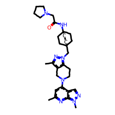 Cc1cc(N2CCc3c(c(C)nn3CC34CCC(NC(=O)CN5CCCC5)(CC3)CC4)C2)c2cnn(C)c2n1